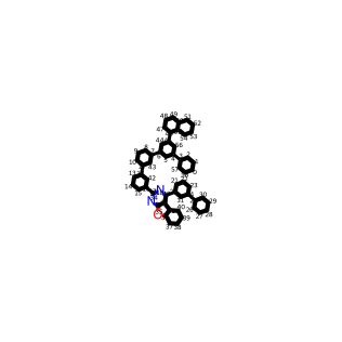 c1ccc(-c2cc(-c3cccc(-c4cccc(-c5nc(-c6cccc(-c7ccccc7)c6)c6c(n5)oc5ccccc56)c4)c3)cc(-c3cccc4ccccc34)c2)cc1